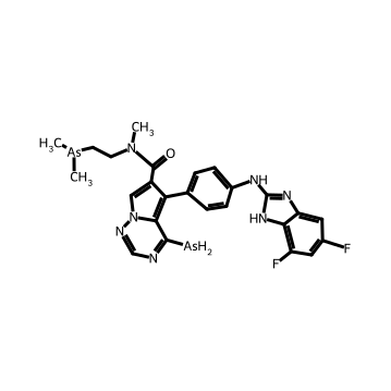 CN(CC[As](C)C)C(=O)c1cn2ncnc([AsH2])c2c1-c1ccc(Nc2nc3cc(F)cc(F)c3[nH]2)cc1